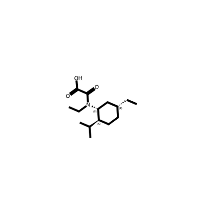 CC[C@@H]1CC[C@@H](C(C)C)[C@H](N(CC)C(=O)C(=O)O)C1